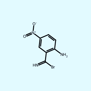 N=C(Br)c1cc([N+](=O)[O-])ccc1N